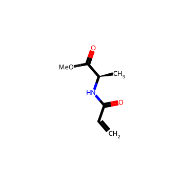 C=CC(=O)N[C@H](C)C(=O)OC